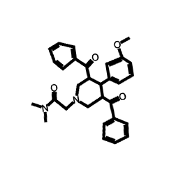 COc1cccc(C2C(C(=O)c3ccccc3)CN(CC(=O)N(C)C)CC2C(=O)c2ccccc2)c1